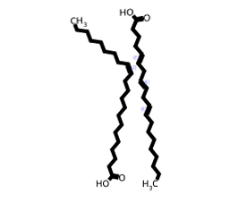 CCCCCCCC/C=C/C/C=C/C/C=C/CCCC(=O)O.CCCCCCCC/C=C\CCCCCCCCCCCC(=O)O